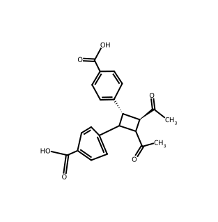 CC(=O)C1C(c2ccc(C(=O)O)cc2)[C@H](c2ccc(C(=O)O)cc2)[C@H]1C(C)=O